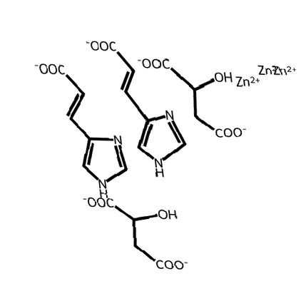 O=C([O-])C=Cc1c[nH]cn1.O=C([O-])C=Cc1c[nH]cn1.O=C([O-])CC(O)C(=O)[O-].O=C([O-])CC(O)C(=O)[O-].[Zn+2].[Zn+2].[Zn+2]